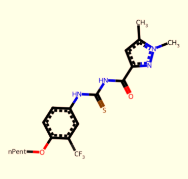 CCCCCOc1ccc(NC(=S)NC(=O)c2cc(C)n(C)n2)cc1C(F)(F)F